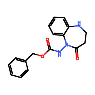 O=C(NN1C(=O)CCNc2ccccc21)OCc1ccccc1